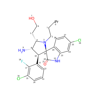 CC(C)CCN1[C@@H](CCO)[C@@H](N)[C@H](c2cccc(Cl)c2F)[C@]12C(=O)Nc1cc(Cl)ccc12